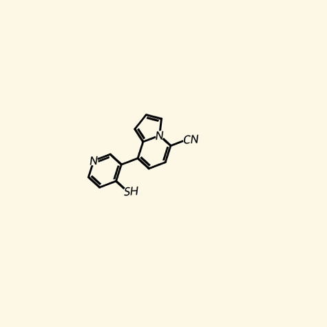 N#Cc1ccc(-c2cnccc2S)c2cccn12